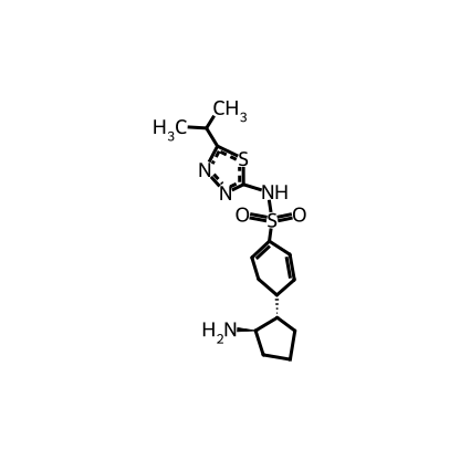 CC(C)c1nnc(NS(=O)(=O)C2=CCC([C@@H]3CCC[C@H]3N)C=C2)s1